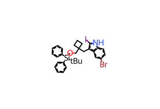 CC(C)(C)[Si](OCC1(Cc2c(I)[nH]c3ccc(Br)cc23)CCC1)(c1ccccc1)c1ccccc1